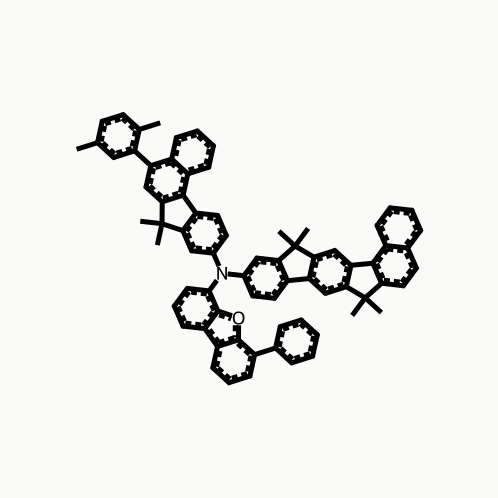 Cc1ccc(C)c(-c2cc3c(c4ccccc24)-c2ccc(N(c4ccc5c(c4)C(C)(C)c4cc6c(cc4-5)C(C)(C)c4ccc5ccccc5c4-6)c4cccc5c4oc4c(-c6ccccc6)cccc45)cc2C3(C)C)c1